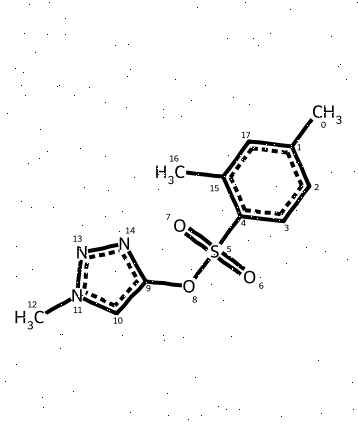 Cc1ccc(S(=O)(=O)Oc2cn(C)nn2)c(C)c1